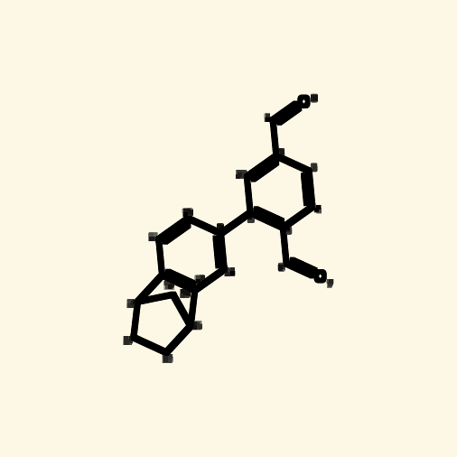 O=Cc1ccc(C=O)c(-c2ccc3c(c2)C2CCC3C2)c1